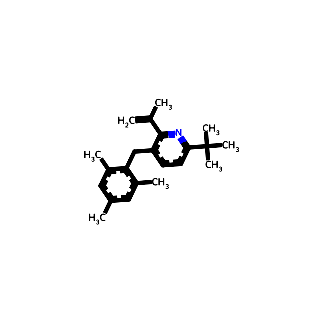 C=C(C)c1nc(C(C)(C)C)ccc1Cc1c(C)cc(C)cc1C